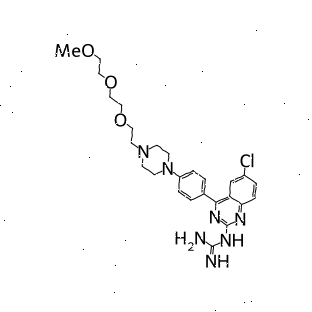 COCCOCCOCCN1CCN(c2ccc(-c3nc(NC(=N)N)nc4ccc(Cl)cc34)cc2)CC1